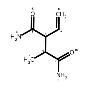 C=CC(C(N)=O)C(C)C(N)=O